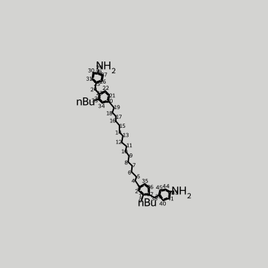 CCCCc1cc(CCCCCCCCCCCCCCCCc2ccc(Cc3ccc(N)cc3)c(CCCC)c2)ccc1Cc1ccc(N)cc1